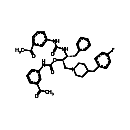 CC(=O)c1cccc(NC(=O)N[C@H](Cc2ccccc2)[C@@H](CN2CCC(Cc3ccc(F)cc3)CC2)OC(=O)Nc2cccc(C(C)=O)c2)c1